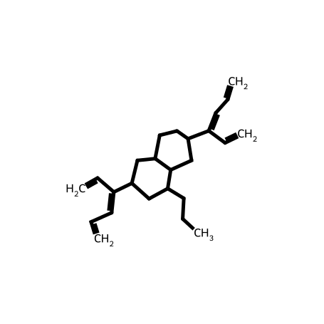 C=C/C=C(\C=C)C1CC(CCC)C2CC(/C(C=C)=C/C=C)CCC2C1